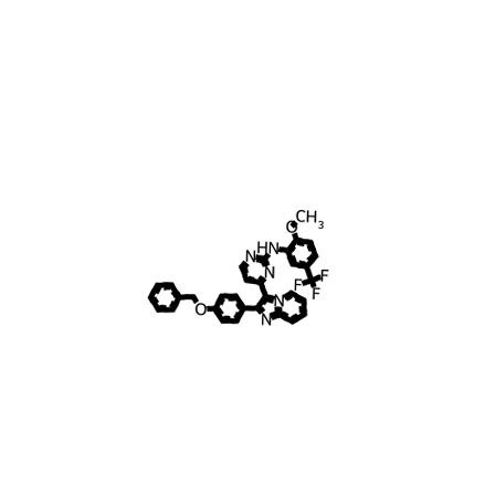 COc1ccc(C(F)(F)F)cc1Nc1nccc(-c2c(-c3ccc(OCc4ccccc4)cc3)nc3ccccn23)n1